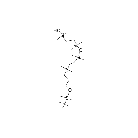 CC(C)(C)[Si](C)(C)OCCC[Si](C)(C)CC[Si](C)(C)O[Si](C)(C)CC[Si](C)(C)O